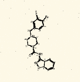 O=C(NC1=NOC2C=CC=CC12)N1CCN(Cc2ccc(Br)c(F)c2)CC1